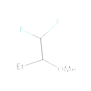 C[CH]C(OC)C(F)F